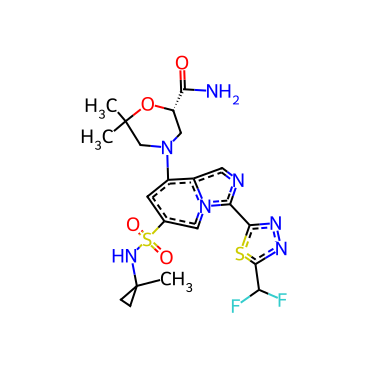 CC1(NS(=O)(=O)c2cc(N3C[C@@H](C(N)=O)OC(C)(C)C3)c3cnc(-c4nnc(C(F)F)s4)n3c2)CC1